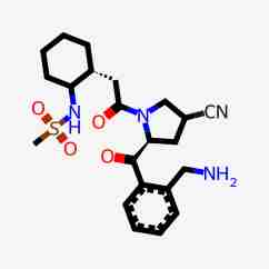 CS(=O)(=O)NC1CCCC[C@@H]1CC(=O)N1CC(C#N)C[C@H]1C(=O)c1ccccc1CN